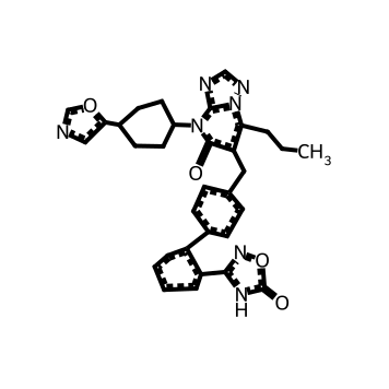 CCCc1c(Cc2ccc(-c3ccccc3-c3noc(=O)[nH]3)cc2)c(=O)n(C2CCC(c3cnco3)CC2)c2ncnn12